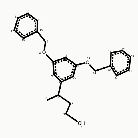 CC(CCO)c1cc(OCc2ccccc2)cc(OCc2ccccc2)c1